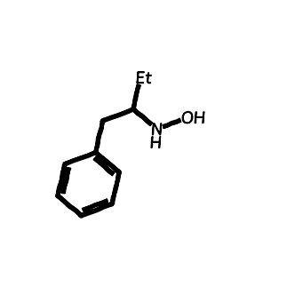 CCC(Cc1ccccc1)NO